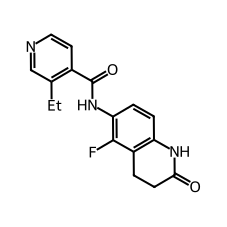 CCc1cnccc1C(=O)Nc1ccc2c(c1F)CCC(=O)N2